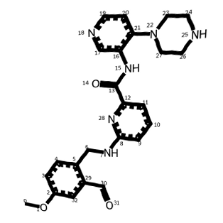 COc1ccc(CNc2cccc(C(=O)Nc3cnccc3N3CCNCC3)n2)c(C=O)c1